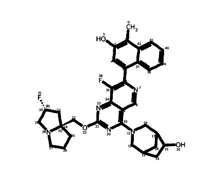 Cc1c(O)cc(-c2ncc3c(N4CC5CC(O)C(C5)C4)nc(OC[C@@]45CCCN4C[C@H](F)C5)nc3c2F)c2ccccc12